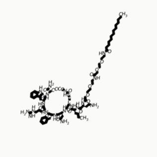 CCCCCCCCCCCCCC(=O)NCCOCCOCC(=O)NCCOCCOCC(=O)N[C@@H](CCN)C(=O)N[C@@H](CCCC)C(=O)N[C@H]1CCCC(=O)NCCCC[C@@H](C(N)=O)NC(=O)[C@H](Cc2c[nH]c3ccccc23)NC(=O)[C@H](CCCNC(=N)N)NC(=O)[C@@H](Cc2ccccc2)NC(=O)[C@H](CC(N)=O)NC1=O